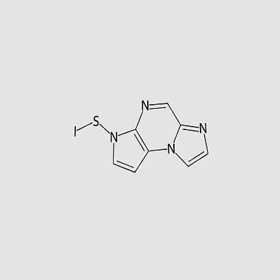 ISn1ccc2c1ncc1nccn12